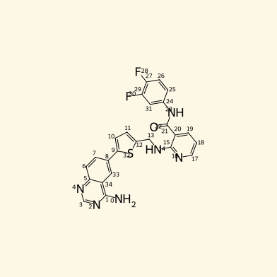 Nc1ncnc2ccc(-c3ccc(CNc4ncccc4C(=O)Nc4ccc(F)c(F)c4)s3)cc12